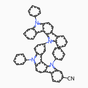 N#Cc1ccc2c3ccc4c(c5cc(-n6c7ccccc7c7ccc8c(c9ccccc9n8-c8ccccc8)c76)ccc5n4-c4ccccc4)c3n(-c3ccccc3)c2c1